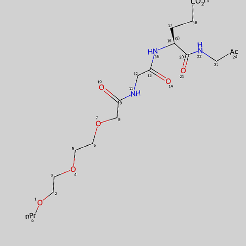 CCCOCCOCCOCC(=O)NCC(=O)N[C@@H](CCC(=O)O)C(=O)NCC(C)=O